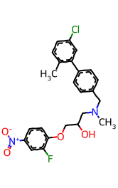 Cc1ccc(Cl)cc1-c1ccc(CN(C)CC(O)COc2ccc([N+](=O)[O-])cc2F)cc1